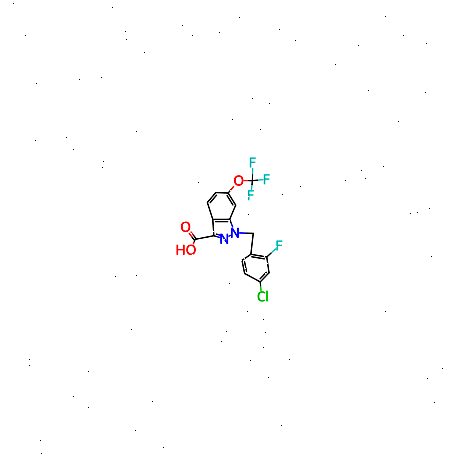 O=C(O)c1nn(Cc2ccc(Cl)cc2F)c2cc(OC(F)(F)F)ccc12